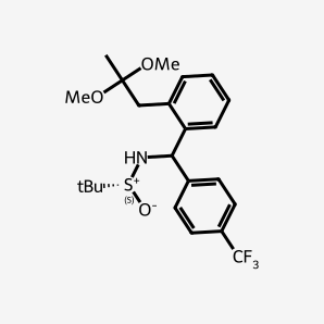 COC(C)(Cc1ccccc1C(N[S@+]([O-])C(C)(C)C)c1ccc(C(F)(F)F)cc1)OC